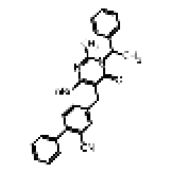 CCCCc1nc(C)n(C(C)c2ccccc2)c(=O)c1Cc1ccc(-c2ccccc2)c(C#N)c1